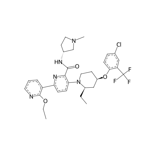 CCOc1ncccc1-c1ccc(N2CC[C@@H](Oc3ccc(Cl)cc3C(F)(F)F)C[C@H]2CC)c(C(=O)N[C@@H]2CCN(C)C2)n1